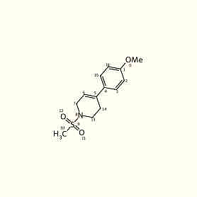 COc1ccc(C2=CCN(S(C)(=O)=O)CC2)cc1